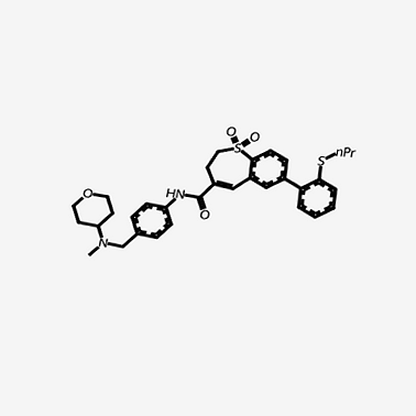 CCCSc1ccccc1-c1ccc2c(c1)C=C(C(=O)Nc1ccc(CN(C)C3CCOCC3)cc1)CCS2(=O)=O